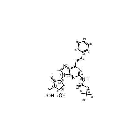 C=C1[C@H](CO)[C@@H](O)C[C@@H]1n1cnc2c(OCc3ccccc3)nc(NC(=O)OC(C)(C)C)nc21